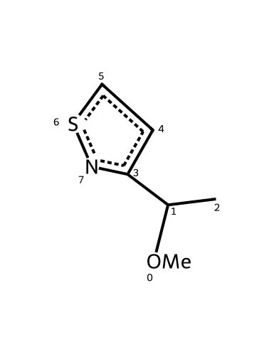 COC(C)c1ccsn1